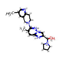 Cc1cnc2c(c1)CN(c1nn3cc(C(O)N4CCCC4)nc3cc1C)CC2